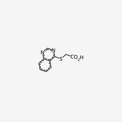 O=C(O)CSc1ncnc2ccccc12